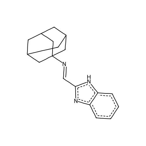 C(=N\C12CC3CC(CC(C3)C1)C2)/c1nc2ccccc2[nH]1